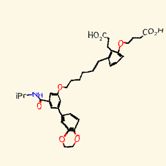 CC(C)NC(=O)c1cc(OCCCCCCc2cccc(OCCCC(=O)O)c2CCC(=O)O)cc(-c2ccc3c(c2)OCCO3)c1